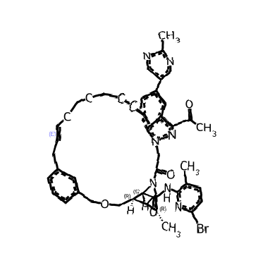 CC(=O)c1nn2c3c(cc(-c4cnc(C)nc4)cc13)CCCCCC/C=C/Cc1cccc(c1)COC[C@@H]1C3C([C@@H]3C)N(C(=O)C2)[C@@H]1C(=O)Nc1nc(Br)ccc1C